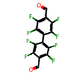 O=Cc1c(F)c(F)c(-c2c(F)c(F)c(C=O)c(F)c2F)c(F)c1F